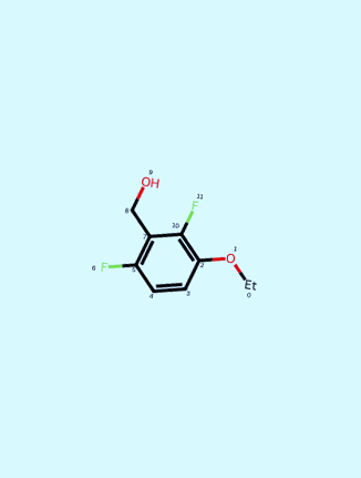 CCOc1ccc(F)c(CO)c1F